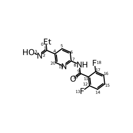 CCC(=NO)c1ccc(NC(=O)c2c(F)cccc2F)nc1